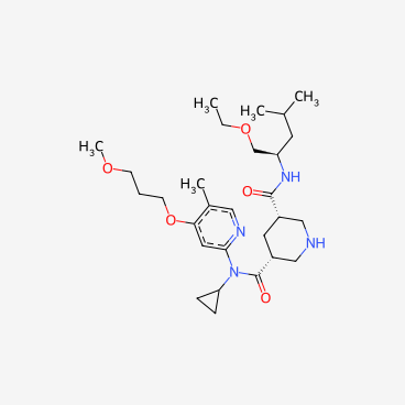 CCOC[C@@H](CC(C)C)NC(=O)[C@@H]1CNC[C@H](C(=O)N(c2cc(OCCCOC)c(C)cn2)C2CC2)C1